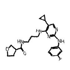 O=C(NCCCNc1nc(Nc2cccc(F)c2)ncc1C1CC1)C1CCOC1